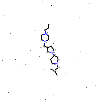 CCCN1CCN([C@@H](C)C2CCN(C3CCN(CC(C)C)CC3)C2)CC1